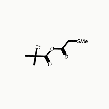 CCC(C)(C)C(=O)OC(=O)CSC